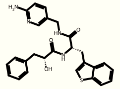 Nc1ccc(CNC(=O)[C@H](Cc2csc3ccccc23)NC(=O)[C@H](O)Cc2ccccc2)cn1